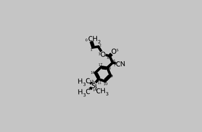 C=CCOC(=O)C(C#N)c1ccc([Si](C)(C)C)cc1